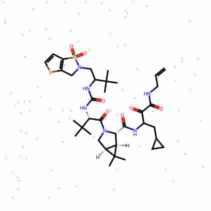 C=CCNC(=O)C(=O)C(CC1CC1)NC(=O)[C@@H]1[C@@H]2[C@H](CN1C(=O)[C@@H](NC(=O)NC(CN1Cc3sccc3S1(=O)=O)C(C)(C)C)C(C)(C)C)C2(C)C